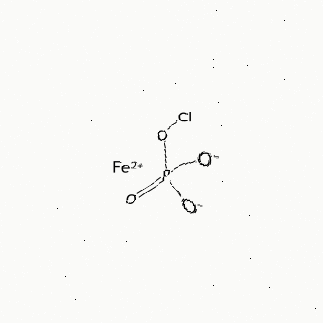 O=P([O-])([O-])OCl.[Fe+2]